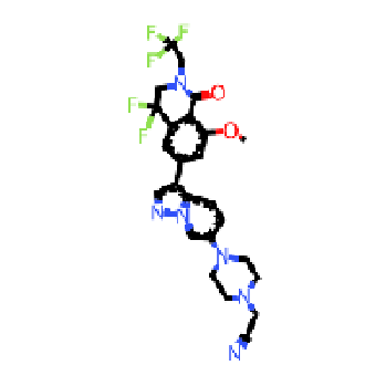 COc1cc(-c2cnn3cc(N4CCN(CC#N)CC4)ccc23)cc2c1C(=O)N(CC(F)(F)F)CC2(F)F